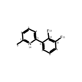 Cc1cccc(-c2cccc(F)c2F)n1